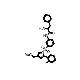 CNCc1cc(-c2ccccc2F)n(S(=O)(=O)c2cccc(NC(=O)C(N)Cc3ccccc3)c2)c1